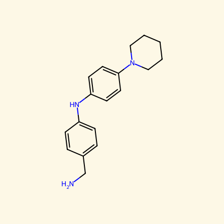 NCc1ccc(Nc2ccc(N3CCCCC3)cc2)cc1